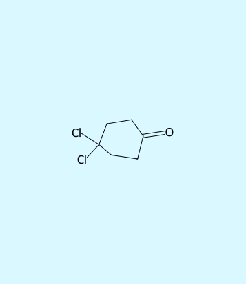 O=C1CCC(Cl)(Cl)CC1